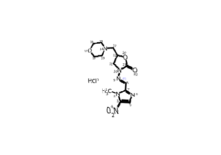 Cl.Cn1c([N+](=O)[O-])cnc1/C=N/N1CC(CN2CCOCC2)OC1=O